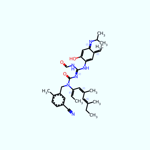 C/C=C1/C=C(N/C(=N/C(=O)N(Cc2cc(C#N)ccc2C)C(/C=C(C)\C=C(/C)CC)=C/C)NC=O)C(O)=C/C1=N/C(C)C